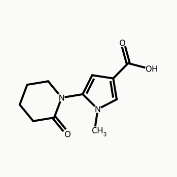 Cn1cc(C(=O)O)cc1N1CCCCC1=O